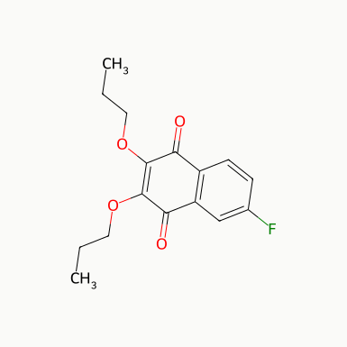 CCCOC1=C(OCCC)C(=O)c2cc(F)ccc2C1=O